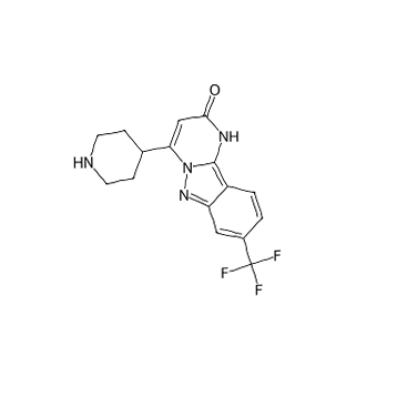 O=c1cc(C2CCNCC2)n2nc3cc(C(F)(F)F)ccc3c2[nH]1